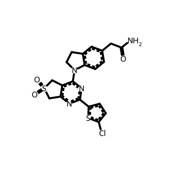 NC(=O)Cc1ccc2c(c1)CCN2c1nc(-c2ccc(Cl)s2)nc2c1CS(=O)(=O)C2